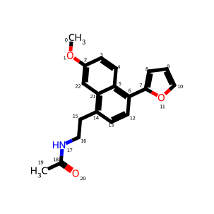 COc1ccc2c(-c3ccco3)ccc(CCNC(C)=O)c2c1